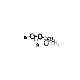 CC[N+]1(C)CCCCC1Oc1ccc2c(c1)oc1cc(Br)ccc12.[Br-]